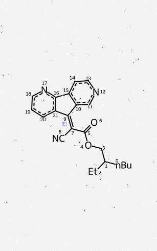 CCCCC(CC)COC(=O)/C(C#N)=C1\c2cnccc2-c2ncccc21